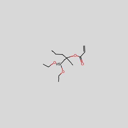 C=CC(=O)OC(C)(CCC)[SiH](OCC)OCC